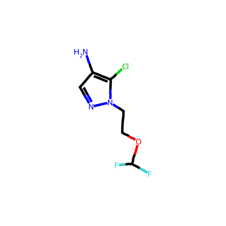 Nc1cnn(CCOC(F)F)c1Cl